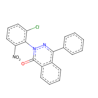 O=c1c2ccccc2c(-c2ccccc2)nn1-c1c(Cl)cccc1[N+](=O)[O-]